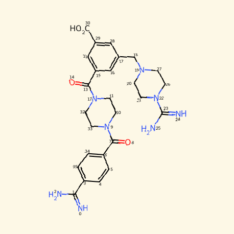 N=C(N)c1ccc(C(=O)N2CCN(C(=O)c3cc(CN4CCN(C(=N)N)CC4)cc(C(=O)O)c3)CC2)cc1